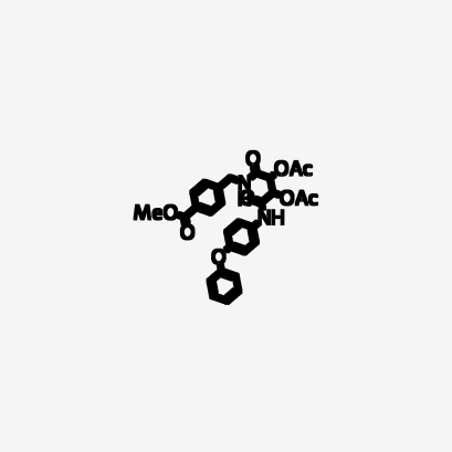 COC(=O)c1ccc(CNC(=O)C(OC(C)=O)C(OC(C)=O)C(=O)Nc2ccc(Oc3ccccc3)cc2)cc1